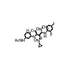 CC(=O)Nc1cccc(-n2on(C3CC3)oc3c2=C(C)ON(C)C=3Nc2ccc(I)cc2F)c1